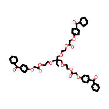 CCC(COCCOC(=O)COc1ccc(C(=O)c2ccccc2)cc1)(COCCOC(=O)COc1ccc(C(=O)c2ccccc2)cc1)COCCOC(=O)COc1ccc(C(=O)c2ccccc2)cc1